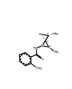 CCCC[C@H]1N[C@@]12[C@@H](CCCC)N2NC(=O)c1ccccc1C=O